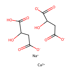 O=C([O-])CC(O)C(=O)O.O=C([O-])CC(O)C(=O)[O-].[Ca+2].[Na+]